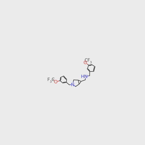 FC(F)(F)Oc1cccc(CNCC2C3CN(Cc4cccc(OC(F)(F)F)c4)CC23)c1